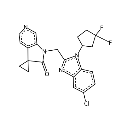 O=C1N(Cc2nc3cc(Cl)ccc3n2C2CCC(F)(F)C2)c2cnccc2C12CC2